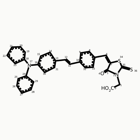 O=C(O)CN1C(=O)/C(=C\c2ccc(/C=C/c3ccc(N(c4ccccc4)c4ccccc4)cc3)cc2)SC1=S